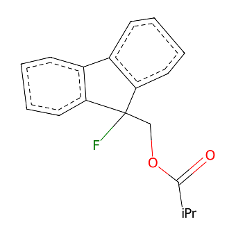 CC(C)C(=O)OCC1(F)c2ccccc2-c2ccccc21